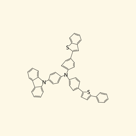 c1ccc(-c2ccc(-c3ccc(N(c4ccc(-c5cc6ccccc6s5)cc4)c4ccc(-n5c6ccccc6c6ccccc65)cc4)cc3)s2)cc1